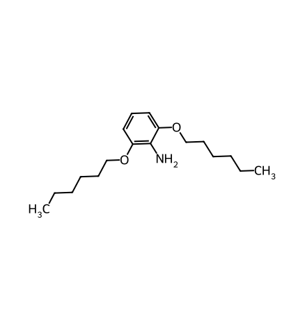 CCCCCCOc1cccc(OCCCCCC)c1N